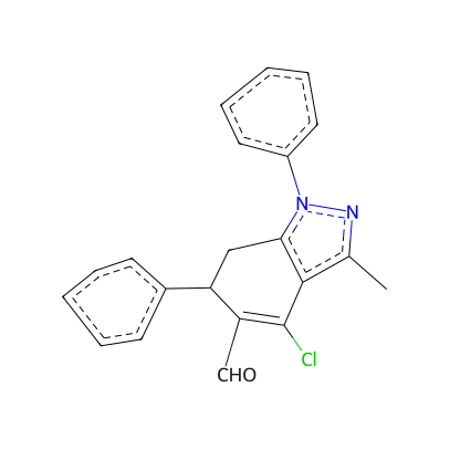 Cc1nn(-c2ccccc2)c2c1C(Cl)=C(C=O)C(c1ccccc1)C2